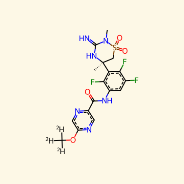 [2H]C([2H])([2H])Oc1cnc(C(=O)Nc2cc(F)c(F)c([C@]3(C)CS(=O)(=O)N(C)C(=N)N3)c2F)cn1